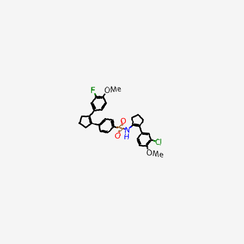 COc1ccc(C2=C(c3ccc(S(=O)(=O)NC4=C(c5ccc(OC)c(Cl)c5)CCC4)cc3)CCC2)cc1F